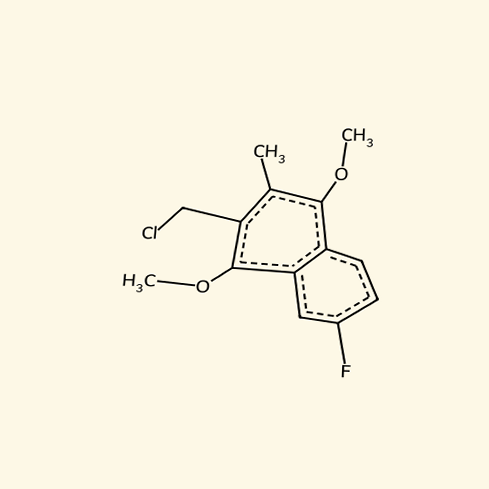 COc1c(C)c(CCl)c(OC)c2cc(F)ccc12